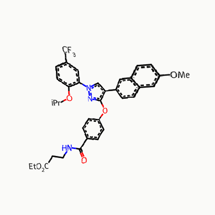 CCOC(=O)CCNC(=O)c1ccc(Oc2nn(-c3cc(C(F)(F)F)ccc3OC(C)C)cc2-c2ccc3cc(OC)ccc3c2)cc1